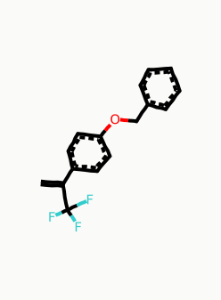 C=C(c1ccc(OCc2ccccc2)cc1)C(F)(F)F